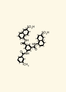 Cc1cccc(C(=O)Nc2cc(C(=O)Nc3cccc4cc(S(=O)(=O)O)ccc34)cc(C(=O)Nc3cccc4cc(S(=O)(=O)O)ccc34)c2)c1